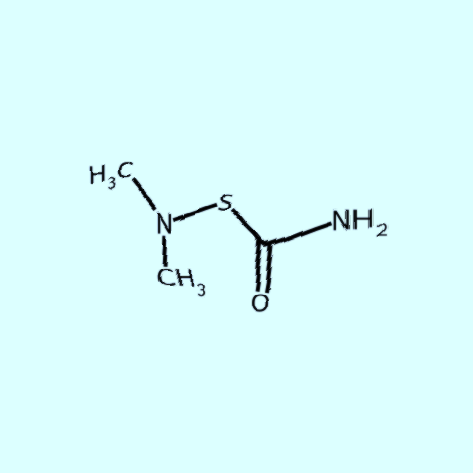 CN(C)SC(N)=O